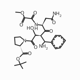 COC(=O)C(=O)N[C@@H](CC(N)=O)C(=O)[C@H](C(O)C(=O)N1CCC[C@H]1C(=O)OC(C)(C)C)C(N)c1ccccc1